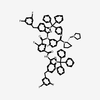 O=C(Nc1nn(C(c2ccccc2)(c2ccccc2)c2ccccc2)c2ccc(Cc3cc(F)cc(F)c3)cc12)c1ccc(F)c(C(=O)N(c2cc(C(=O)N3CCC[C@H]3CN3CCCC3)ccc2F)c2nn(C(c3ccccc3)(c3ccccc3)c3ccccc3)c3ccc(Cc4cc(F)cc(F)c4)cc23)c1